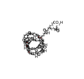 O=C(O)CCCN(CCNC(=O)F)CCC(=O)NCCCCC1CN2CCNC(=O)c3cccc(c3O)C(=O)NCCN(CCNC(=O)c3cccc(c3O)C(=O)N1)CCN1CCNC(=O)c3cccc(c3O)C(=O)NCCN(CCNC(=O)c3cccc(c3O)C(=O)NCC1)CC2